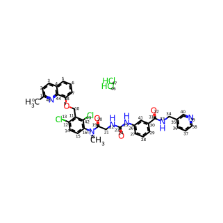 Cc1ccc2cccc(OCc3c(Cl)ccc(N(C)C(=O)CNC(=O)Nc4cccc(C(=O)NCc5cccnc5)c4)c3Cl)c2n1.Cl.Cl